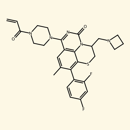 C=CC(=O)N1CCN(c2nc(=O)n3c4c(c(-c5ccc(F)cc5F)c(C)cc24)SCC3CN2CCC2)CC1